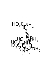 NC(=O)CC[C@H](N)C(=O)O.NC(=O)C[C@H](N)C(=O)O.NCC(=O)O.NCCCC[C@H](N)C(=O)O